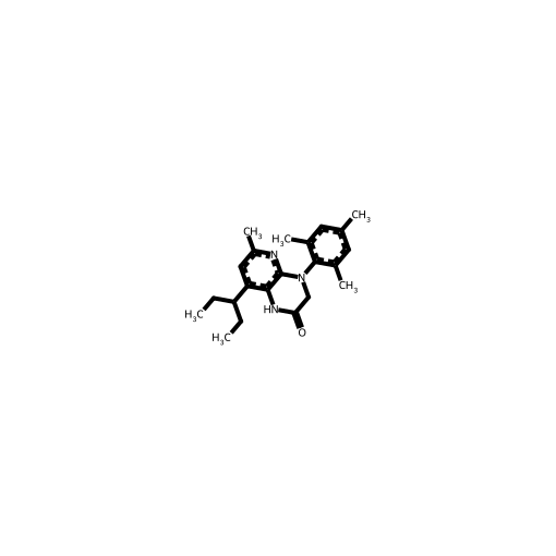 CCC(CC)c1cc(C)nc2c1NC(=O)CN2c1c(C)cc(C)cc1C